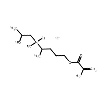 C=C(C)C(=O)OCCCC(C)[N+](CC)(CC)CC(C)O.[Cl-]